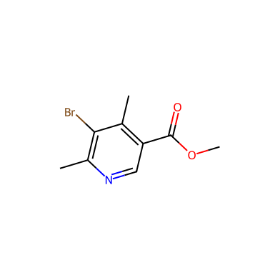 COC(=O)c1cnc(C)c(Br)c1C